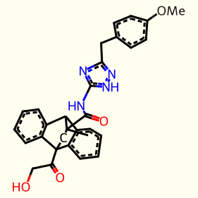 COc1ccc(Cc2n[nH]c(NC(=O)C3(C)CC4(C(=O)CO)c5ccccc5C3c3ccccc34)n2)cc1